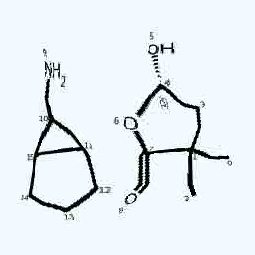 CC1(C)C[C@@H](O)OC1=O.NC1C2CCCC12